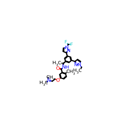 CCn1ccc(-c2cc(-c3ccn(C(F)F)n3)cc([C@@H](C)NC(=O)c3cc(OCCN(C)C)ccc3C)c2)n1